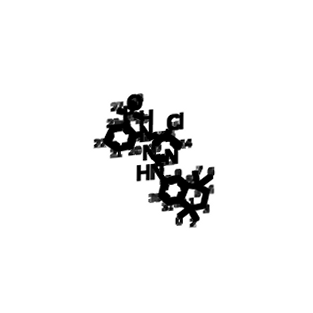 CC1(C)CCC(C)(C)c2cc(Nc3ncc(Cl)c(Nc4ccccc4P(C)(C)=O)n3)ccc21